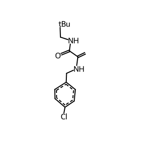 C=C(NCc1ccc(Cl)cc1)C(=O)NCC(C)(C)C